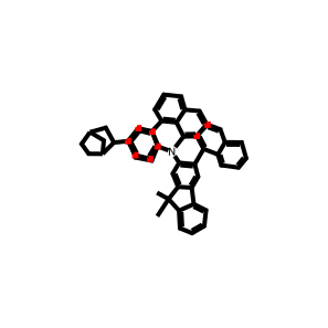 CC1(C)c2ccccc2-c2cc(-c3cccc4ccccc34)c(N(c3ccc(C4CC5CCC4C5)cc3)c3cccc4cccc(C5CCCCC5)c34)cc21